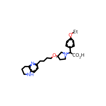 CCOc1ccc(C(C(=O)O)N2CC[C@@H](OCCCCc3ccc4c(n3)CCCN4)C2)cc1